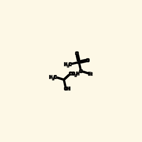 CC(O)C(=O)O.CCOS(C)(=O)=O